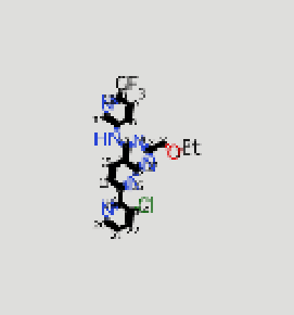 CCOCc1nc(Nc2ccc(C(F)(F)F)nc2)c2ccc(-c3ncccc3Cl)nc2n1